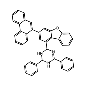 c1ccc(C2=NC(c3cc(-c4cc5ccccc5c5ccccc45)cc4oc5ccccc5c34)NC(c3ccccc3)N2)cc1